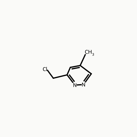 Cc1cnnc(CCl)c1